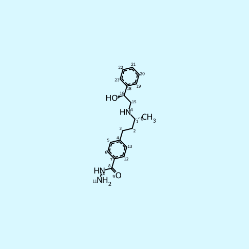 C[C@H](CCc1ccc(C(=O)NN)cc1)NC[C@@H](O)c1ccccc1